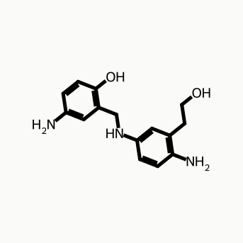 Nc1ccc(O)c(CNc2ccc(N)c(CCO)c2)c1